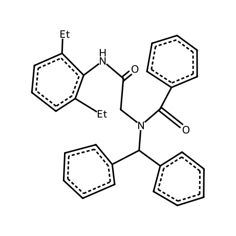 CCc1cccc(CC)c1NC(=O)CN(C(=O)c1ccccc1)C(c1ccccc1)c1ccccc1